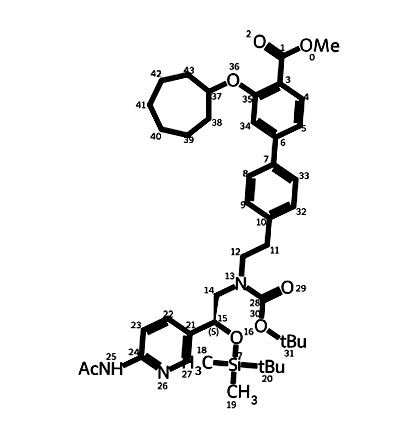 COC(=O)c1ccc(-c2ccc(CCN(C[C@@H](O[Si](C)(C)C(C)(C)C)c3ccc(NC(C)=O)nc3)C(=O)OC(C)(C)C)cc2)cc1OC1CCCCCC1